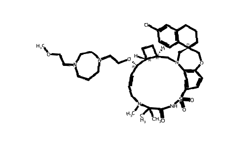 COCCN1CCCN(CCO[C@H]2C=CCN(C)C(C)(C)C(=O)NS(=O)(=O)c3ccc4c(c3)N(C[C@@H]3CC[C@H]32)C[C@@]2(CCCc3cc(Cl)ccc32)CO4)CC1